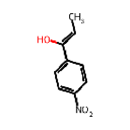 CC=C(O)c1ccc([N+](=O)[O-])cc1